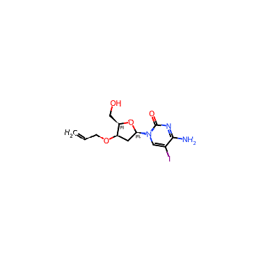 C=CCOC1C[C@H](n2cc(I)c(N)nc2=O)O[C@@H]1CO